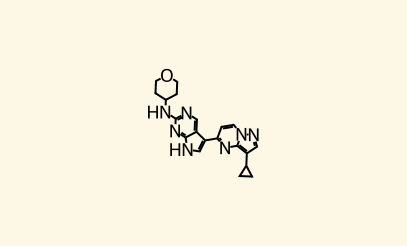 c1cn2ncc(C3CC3)c2nc1-c1c[nH]c2nc(NC3CCOCC3)ncc12